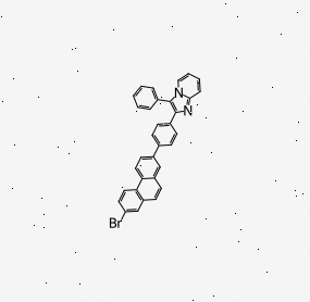 Brc1ccc2c(ccc3cc(-c4ccc(-c5nc6ccccn6c5-c5ccccc5)cc4)ccc32)c1